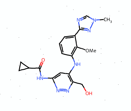 COc1c(Nc2cc(NC(=O)C3CC3)nnc2CO)cccc1-c1ncn(C)n1